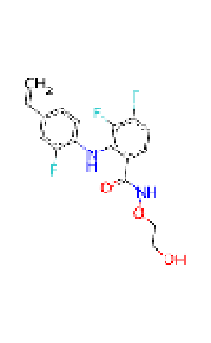 C=Cc1ccc(Nc2c(C(=O)NOCCO)ccc(F)c2F)c(F)c1